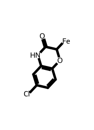 O=C1Nc2cc(Cl)ccc2O[CH]1[Fe]